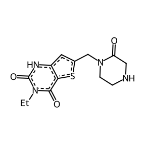 CCn1c(=O)[nH]c2cc(CN3CCNCC3=O)sc2c1=O